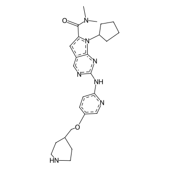 CN(C)C(=O)c1cc2cnc(Nc3ccc(OCC4CCNCC4)cn3)nc2n1C1CCCC1